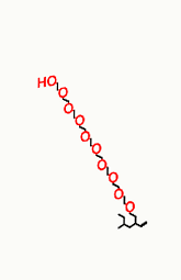 C=CC(CCOCCOCCOCCOCCOCCOCCOCCOCCOCCO)CC(C)CC